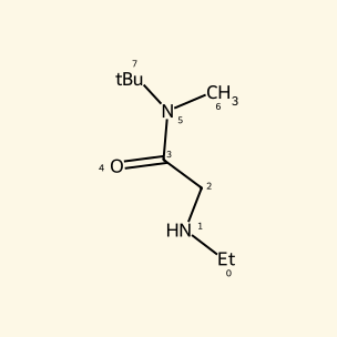 CCNCC(=O)N(C)C(C)(C)C